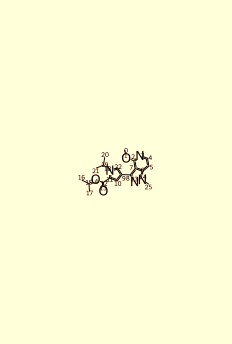 COc1nccc2c1c(-c1cc(C(=O)OC(C)C)n(C(C)C)c1)nn2C